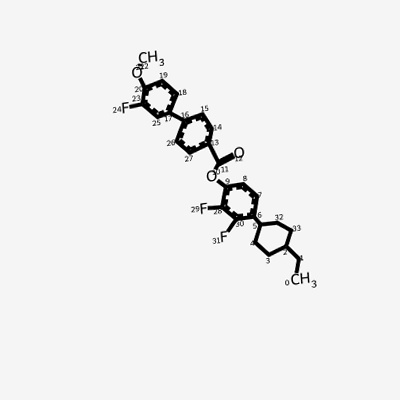 CCC1CCC(c2ccc(OC(=O)c3ccc(-c4ccc(OC)c(F)c4)cc3)c(F)c2F)CC1